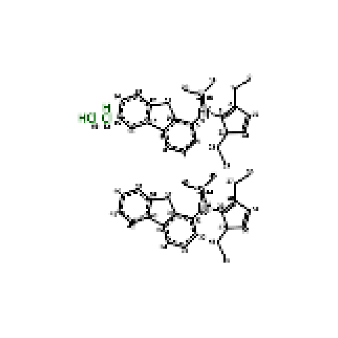 CCC1=[C]([Hf]([c]2cccc3c2Cc2ccccc2-3)=[Si](C)C)C(CC)C=C1.CCC1=[C]([Hf]([c]2cccc3c2Cc2ccccc2-3)=[Si](C)C)C(CC)C=C1.Cl.Cl